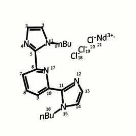 CCCCn1ccnc1-c1cccc(-c2nccn2CCCC)n1.[Cl-].[Cl-].[Cl-].[Nd+3]